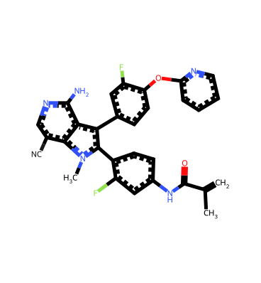 C=C(C)C(=O)Nc1ccc(-c2c(-c3ccc(Oc4ccccn4)c(F)c3)c3c(N)ncc(C#N)c3n2C)c(F)c1